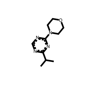 CC(C)c1ncnc(N2CCOCC2)n1